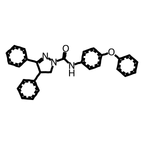 O=C(Nc1ccc(Oc2ccccc2)cc1)N1CC(c2ccccc2)C(c2ccccc2)=N1